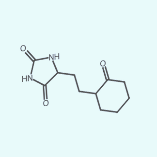 O=C1NC(=O)C(CCC2CCCCC2=O)N1